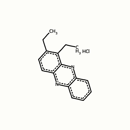 CCc1ccc2nc3ccccc3nc2c1CC.Cl